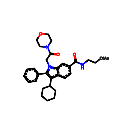 COCCNC(=O)c1ccc2c(C3CCCCC3)c(-c3ccccc3)n(CC(=O)N3CCOCC3)c2c1